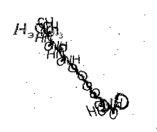 CC(C)(C)OC(=O)NCC(=O)NCC(=O)NCC(=O)NCCOCCOCCOCCOCCC(=O)NC(CO)C(=O)C1CCCCCCCCC1